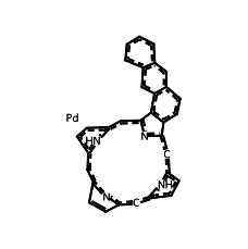 C1=Cc2cc3ccc(cc4nc(cc5ccc(cc1n2)[nH]5)-c1ccc2cc5ccccc5cc2c1-4)[nH]3.[Pd]